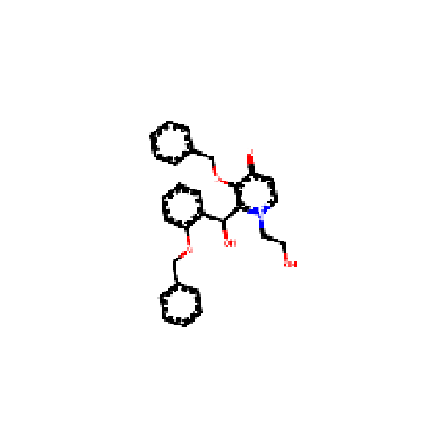 O=c1ccn(CCO)c(C(O)c2ccccc2OCc2ccccc2)c1OCc1ccccc1